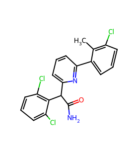 Cc1c(Cl)cccc1-c1cccc(C(C(N)=O)c2c(Cl)cccc2Cl)n1